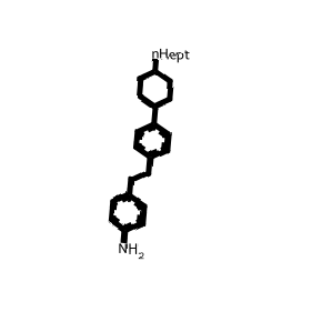 CCCCCCCC1CCC(c2ccc(CCc3ccc(N)cc3)cc2)CC1